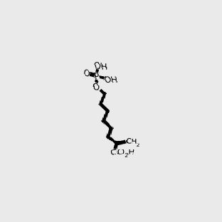 C=C(CCCCCCOP(=O)(O)O)C(=O)O